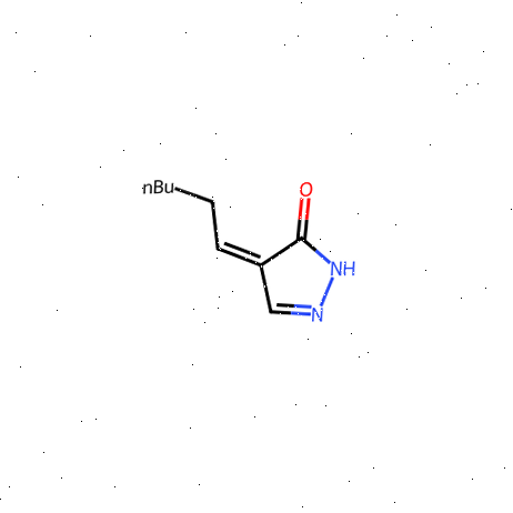 CCCCCC=C1C=NNC1=O